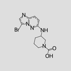 O=C(O)N1CCCC(Nc2ccc3ncc(Br)n3n2)C1